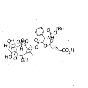 CC(=O)O[C@@]12CO[C@@H]1C[C@H](O)[C@@]1(C)C(=O)[C@H](O)C3=C(C)[C@@H](OC(=O)[C@H](OC(=O)CSCC(=O)O)[C@@H](NC(=O)OC(C)(C)C)c4ccccc4)C[C@]4(OO[C@H]4[C@H]21)C3(C)C